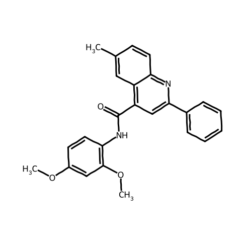 COc1ccc(NC(=O)c2cc(-c3ccccc3)nc3ccc(C)cc23)c(OC)c1